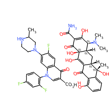 CC1CN(c2cc3c(cc2F)c(=O)c(C(=O)O)cn3-c2ccc(F)cc2F)CCN1.CN(C)[C@@H]1C(O)=C(C(N)=O)C(=O)[C@@]2(O)C(O)=C3C(=O)c4c(O)cccc4[C@@](C)(O)[C@H]3C[C@@H]12